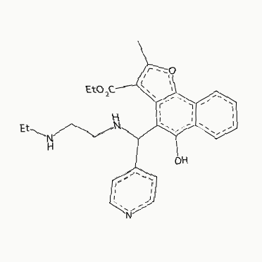 CCNCCNC(c1ccncc1)c1c(O)c2ccccc2c2oc(C)c(C(=O)OCC)c12